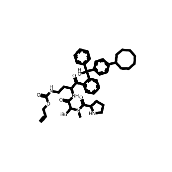 C=CCOC(=O)NCCC(NC(=O)C(C(C)CC)N(C)C(=O)C1CCCN1)C(=O)c1ccccc1C(O)(c1ccccc1)c1ccc(C2CCCCCCC2)cc1